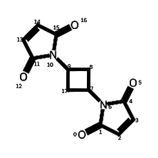 O=C1C=CC(=O)N1C1CC(N2C(=O)C=CC2=O)C1